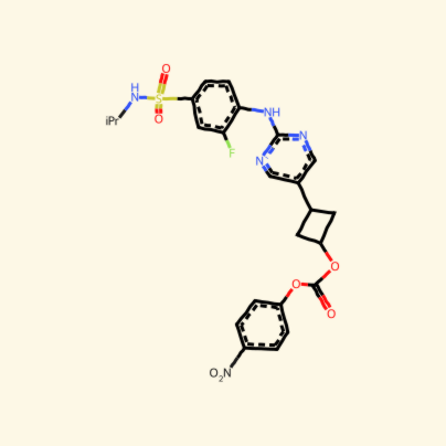 CC(C)NS(=O)(=O)c1ccc(Nc2ncc(C3CC(OC(=O)Oc4ccc([N+](=O)[O-])cc4)C3)cn2)c(F)c1